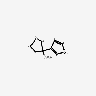 COC1(c2ccsc2)CCOC1